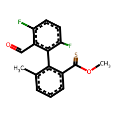 COC(=S)c1cccc(C)c1-c1c(F)ccc(F)c1C=O